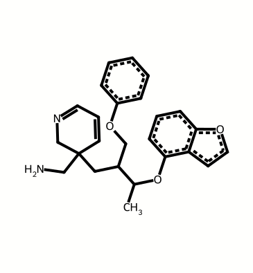 CC(Oc1cccc2occc12)C(COc1ccccc1)CC1(CN)C=CC=NC1